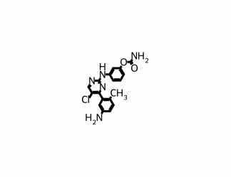 Cc1ccc(N)cc1-c1nc(Nc2cccc(OC(N)=O)c2)ncc1Cl